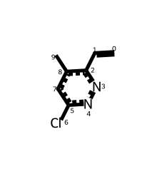 C=Cc1nnc(Cl)cc1C